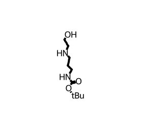 CC(C)(C)OC(=O)NCCCNCCO